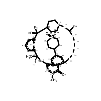 C[C@H]1Nc2nn(C)c(=O)c3c(cc(C4CCS(=O)(=O)CC4)cc23)CCCCCC(F)CN2CCC(CC2)C(F)(F)c2cccc1c2